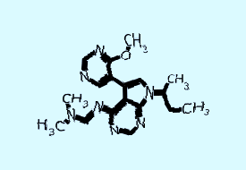 CCC(C)n1cc(-c2cncnc2OC)c2c(/N=C/N(C)C)ncnc21